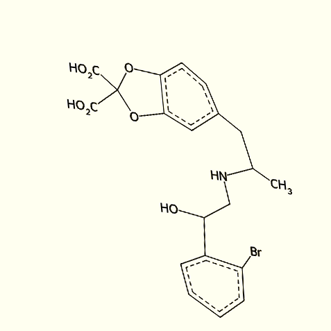 CC(Cc1ccc2c(c1)OC(C(=O)O)(C(=O)O)O2)NCC(O)c1ccccc1Br